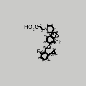 Cl.O=C(O)CCN1CCCC2(COc3cc(OCc4c(F)cccc4C4CC4)ccc32)C1